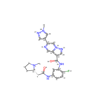 CN1CCC[C@H]1CC(=O)Nc1ccc(F)c(NC(=O)c2cnn3cc(-c4cnn(C)c4)ncc23)c1